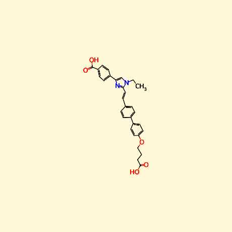 CCn1cc(-c2ccc(C(=O)O)cc2)nc1/C=C/c1ccc(-c2ccc(OCCCC(=O)O)cc2)cc1